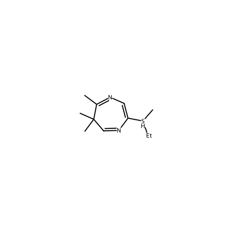 CC[SH](C)C1=CN=C(C)C(C)(C)C=N1